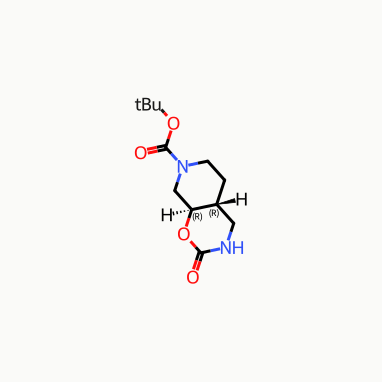 CC(C)(C)OC(=O)N1CC[C@@H]2CNC(=O)O[C@H]2C1